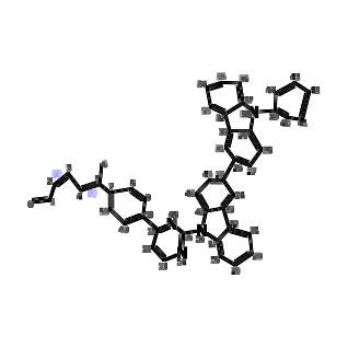 C=C/C=C\C=C(/C)c1ccc(-c2ccnc(-n3c4ccccc4c4cc(-c5ccc6c(c5)c5ccccc5n6-c5ccccc5)ccc43)n2)cc1